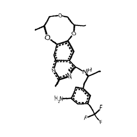 Cc1nc(NC(C)c2cc(N)cc(C(F)(F)F)c2)c2cc3c(cc2n1)OC(C)COCC(C)O3